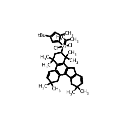 C[C](C)=[Zr]([Cl])([Cl])([C]1=CC(C(C)(C)C)=CC1C)[CH]1CC(C)(C)c2c3c(c4c(c2C1(C)C)CC1=C4CC(C)(C)C=C1)CC(C)(C)C=C3